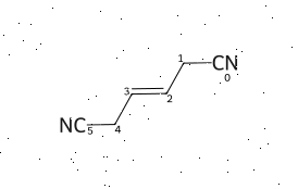 N#CC/C=C/CC#N